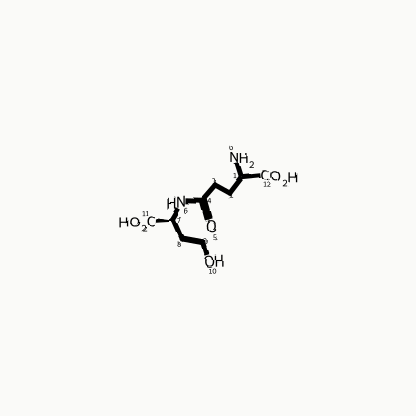 NC(CCC(=O)N[C@@H](CCO)C(=O)O)C(=O)O